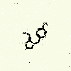 Cc1cnc(CN2CCN/C2=N\C#N)cn1